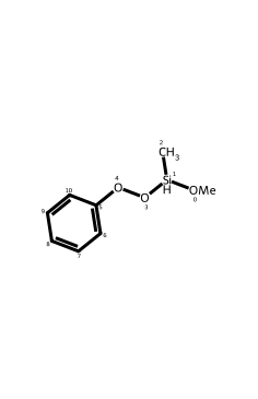 CO[SiH](C)OOc1ccccc1